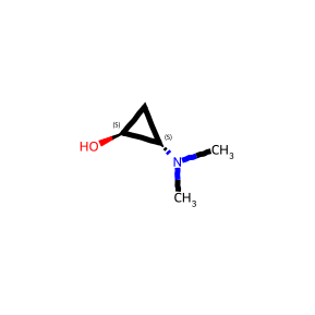 CN(C)[C@H]1C[C@@H]1O